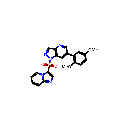 COc1ccc(OC)c(-c2cnc3cnn(S(=O)(=O)c4cnc5ccccn45)c3c2)c1